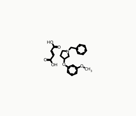 COc1cccc(OC2CCN(Cc3ccccc3)C2)c1.O=C(O)C=CC(=O)O